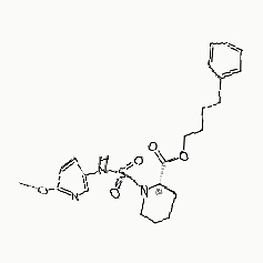 COc1ccc(NS(=O)(=O)N2CCCC[C@H]2C(=O)OCCCCc2ccccc2)cn1